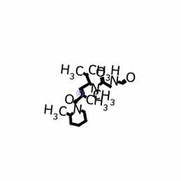 C/C(=C\C(C(C)C)N(C)C(=O)CNC=O)C(=O)N1CCCCC1C